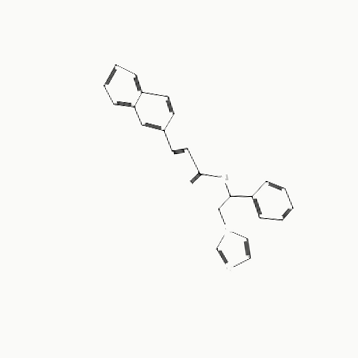 O=C(/C=C/c1ccc2ccccc2c1)NC(Cn1ccnc1)c1ccccc1